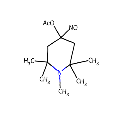 CC(=O)OC1(N=O)CC(C)(C)N(C)C(C)(C)C1